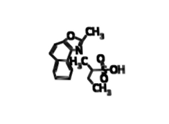 CCC(C)S(=O)(=O)O.Cc1nc2c(ccc3ccccc32)o1